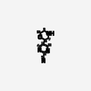 N#Cc1ncc(C2CNCCO2)cn1